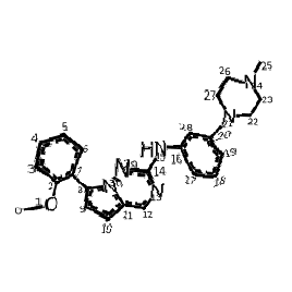 COc1ccccc1-c1ccc2cnc(Nc3cccc(N4CCN(C)CC4)c3)nn12